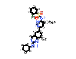 CCc1cc(-c2cc(OC)c(NS(=O)(=O)c3ccccc3Cl)nn2)cc2cnc(NC3CCCCC3)nc12